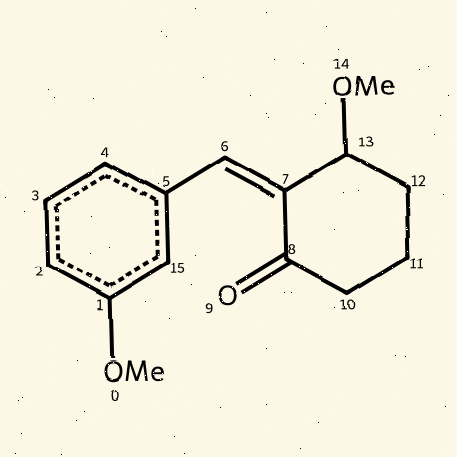 COc1cccc(C=C2C(=O)CCCC2OC)c1